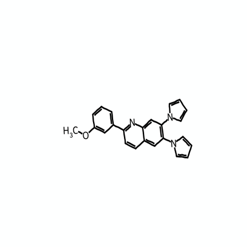 COc1cccc(-c2ccc3cc(-n4cccc4)c(-n4cccc4)cc3n2)c1